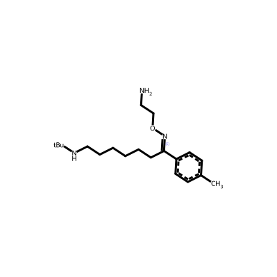 Cc1ccc(/C(CCCCCCNC(C)(C)C)=N/OCCN)cc1